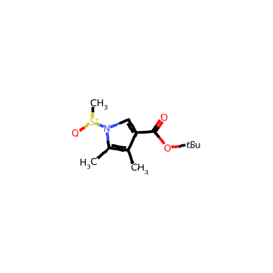 Cc1c(C(=O)OC(C)(C)C)cn([S+](C)[O-])c1C